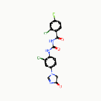 O=C1CN(c2ccc(NC(=O)NC(=O)c3ccc(F)cc3Cl)c(Cl)c2)C=N1